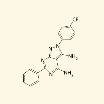 Nc1nc(-c2ccccc2)nc2nn(-c3ccc(C(F)(F)F)cc3)c(N)c12